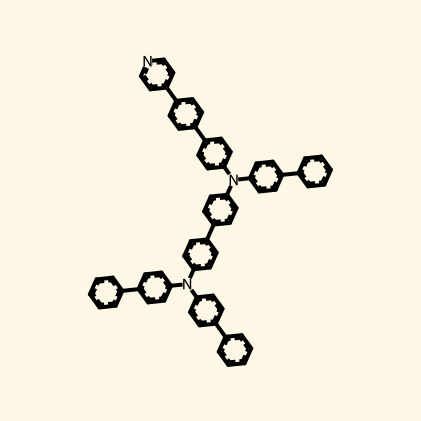 c1ccc(-c2ccc(N(c3ccc(-c4ccccc4)cc3)c3ccc(-c4ccc(N(c5ccc(-c6ccccc6)cc5)c5ccc(-c6ccc(-c7ccncc7)cc6)cc5)cc4)cc3)cc2)cc1